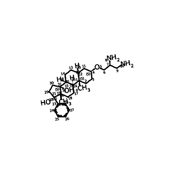 C[C@]12CC[C@H](OCC(N)CN)C[C@H]1CC[C@@H]1[C@@H]2CC[C@]2(C)[C@@](O)(c3ccccc3)CC[C@]12O